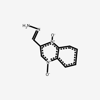 NN=Cc1c[n+]([O-])c2ccccc2[n+]1[O-]